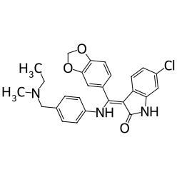 CCN(C)Cc1ccc(N/C(=C2\C(=O)Nc3cc(Cl)ccc32)c2ccc3c(c2)OCO3)cc1